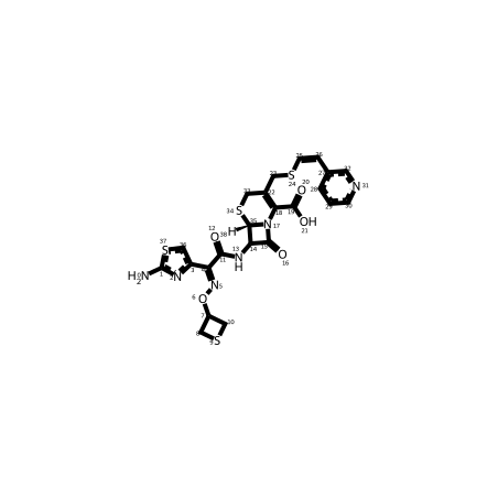 Nc1nc(C(=NOC2CSC2)C(=O)NC2C(=O)N3C(C(=O)O)=C(CS/C=C\c4cccnc4)CS[C@@H]23)cs1